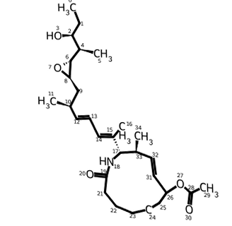 CC[C@H](O)[C@@H](C)[C@H]1O[C@@H]1C[C@H](C)/C=C/C=C(\C)[C@H]1NC(=O)CCCCCC(OC(C)=O)/C=C/[C@@H]1C